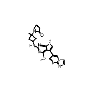 COc1nc(NC2CC(C)(N3CCCC3=O)C2)nc2[nH]cc(-c3cnc4nccn4c3)c12